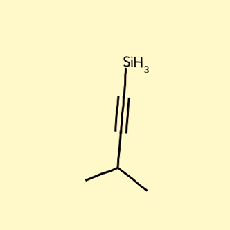 CC(C)C#C[SiH3]